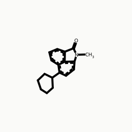 CN1C(=O)c2cccc3c(C4CCCCC4)ccc1c23